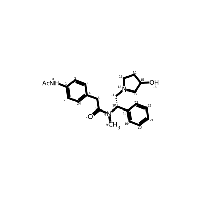 CC(=O)Nc1ccc(CC(=O)N(C)[C@H](CN2CCC(O)C2)c2ccccc2)cc1